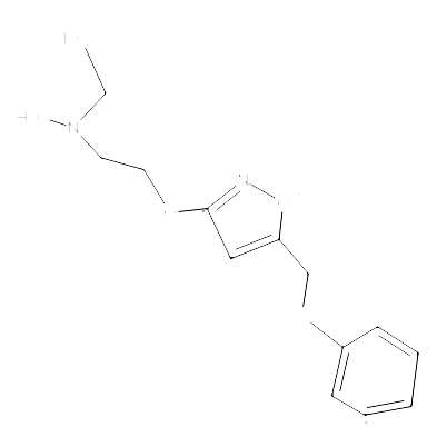 CCN(C)CCOc1cc(COc2ccccc2)on1